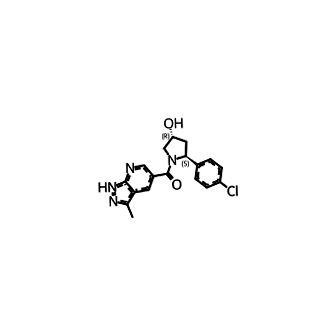 Cc1n[nH]c2ncc(C(=O)N3C[C@H](O)C[C@H]3c3ccc(Cl)cc3)cc12